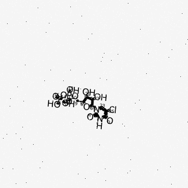 O=c1[nH]c(=O)n([C@H]2O[C@@H](COP(=O)(O)OP(=O)(O)O)C(O)C2O)cc1Cl